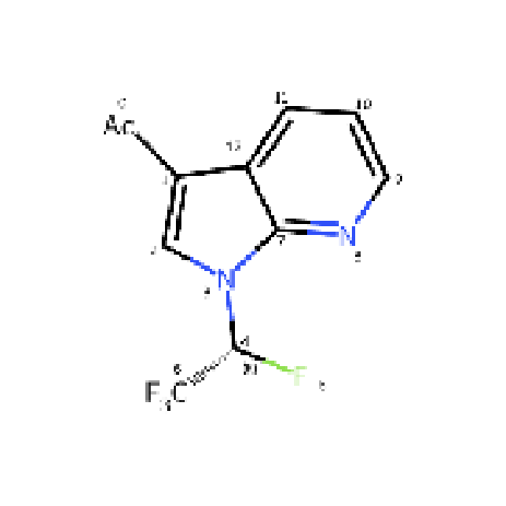 CC(=O)c1cn([C@H](F)C(F)(F)F)c2ncccc12